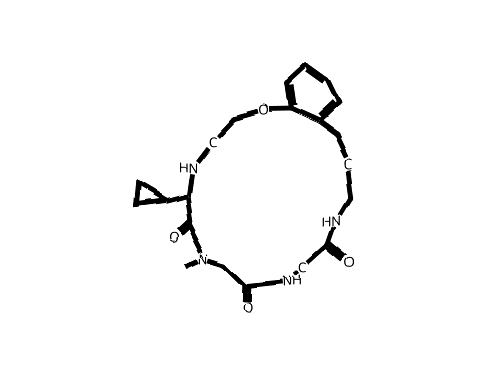 CN1CC(=O)NCC(=O)NCCCc2ccccc2OCCNC(C2CC2)C1=O